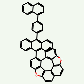 c1ccc2c(-c3ccc(-c4c5ccccc5c(-c5ccc6oc7ccc8ccc9oc%10cccc%11c%10c9c8c7c6c5-%11)c5ccccc45)cc3)cccc2c1